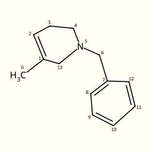 CC1=CCCN(Cc2ccccc2)C1